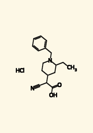 CCC1CC(C(C#N)C(=O)O)CCN1Cc1ccccc1.Cl